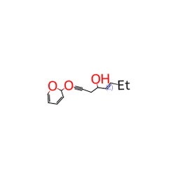 CC/C=C/C(O)CC#COC1C=CC=CO1